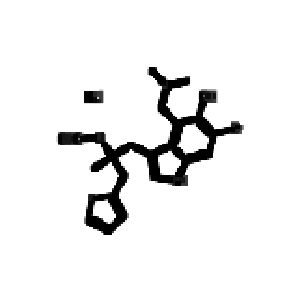 CN(C)Cc1c(O)c(Br)cc2[nH]cc(CC(C)(Cc3cccs3)OC=O)c12.Cl